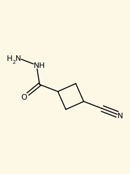 N#CC1CC(C(=O)NN)C1